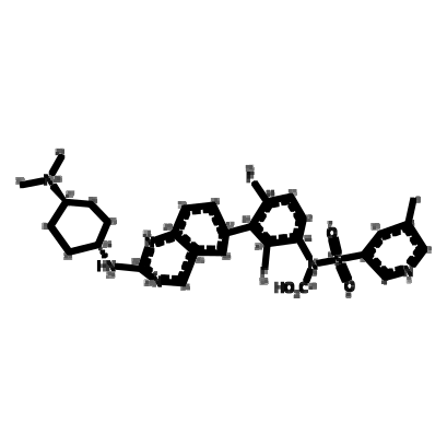 Cc1cncc(S(=O)(=O)N(C(=O)O)c2ccc(F)c(-c3ccc4nc(N[C@H]5CC[C@H](N(C)C)CC5)ncc4c3)c2F)c1